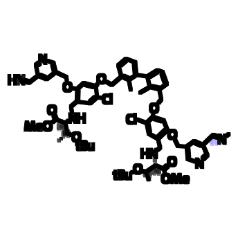 C/N=C/c1cncc(COc2cc(OCc3cccc(-c4cccc(COc5cc(OCc6cncc(C=N)c6)c(CN[C@H](C(=O)OC)[C@@H](C)OC(C)(C)C)cc5Cl)c4C)c3C)c(Cl)cc2CN[C@H](C(=O)OC)[C@@H](C)OC(C)(C)C)c1